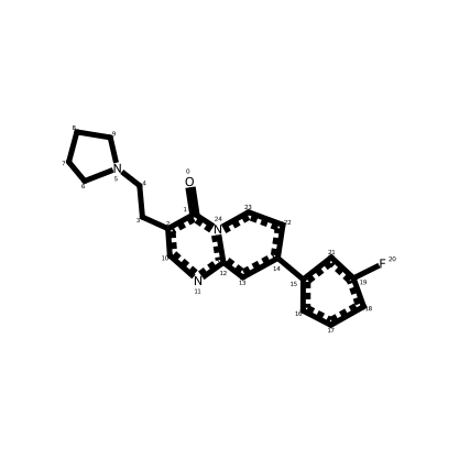 O=c1c(CCN2CCCC2)cnc2cc(-c3cccc(F)c3)ccn12